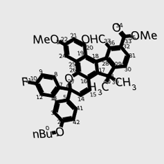 CCCCOc1ccc(C2(c3ccc(F)cc3)C=Cc3c4c(c5ccc(OC)cc5c3O2)-c2c(ccc(C(=O)OC)c2C=O)C4(C)C)cc1